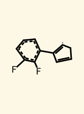 Fc1cccc(C2=[C]CC=C2)c1F